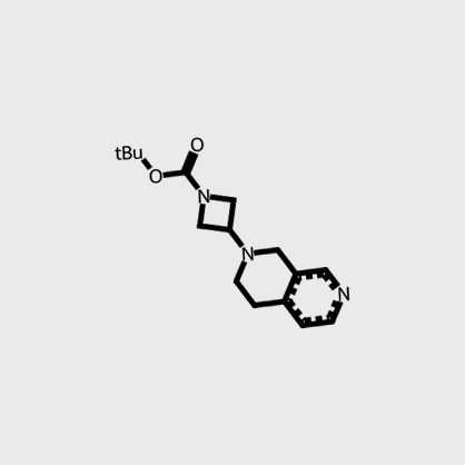 CC(C)(C)OC(=O)N1CC(N2CCc3ccncc3C2)C1